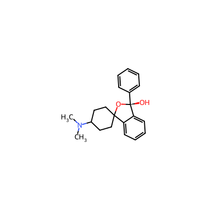 CN(C)C1CCC2(CC1)O[C@](O)(c1ccccc1)c1ccccc12